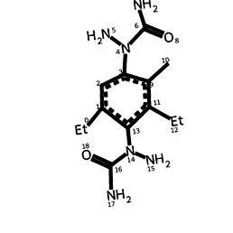 CCc1cc(N(N)C(N)=O)c(C)c(CC)c1N(N)C(N)=O